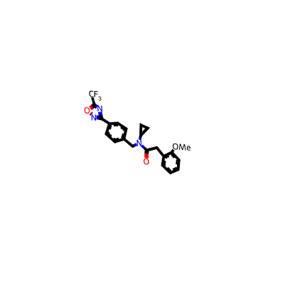 COc1ccccc1CC(=O)N(Cc1ccc(-c2noc(C(F)(F)F)n2)cc1)C1CC1